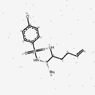 C=CCCC(O)[C@@H](NS(=O)(=O)c1ccc(Cl)cc1)[C@@H](C)CC